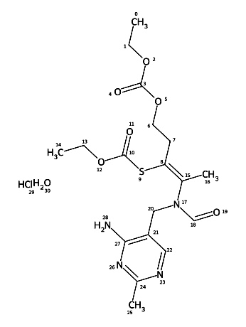 CCOC(=O)OCCC(SC(=O)OCC)=C(C)N(C=O)Cc1cnc(C)nc1N.Cl.O